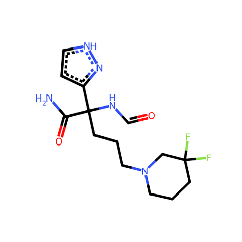 NC(=O)C(CCCN1CCCC(F)(F)C1)(NC=O)c1cc[nH]n1